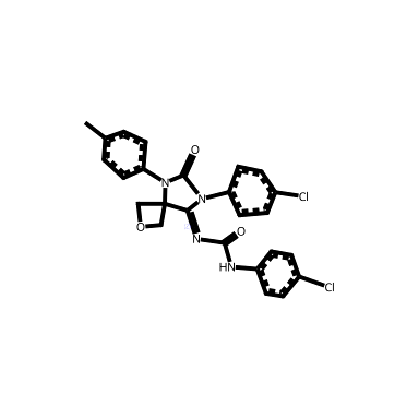 Cc1ccc(N2C(=O)N(c3ccc(Cl)cc3)/C(=N\C(=O)Nc3ccc(Cl)cc3)C23COC3)cc1